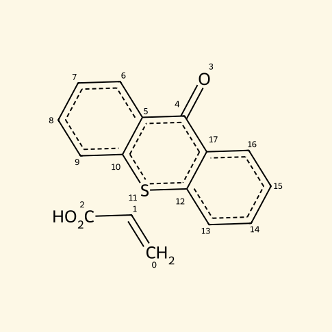 C=CC(=O)O.O=c1c2ccccc2sc2ccccc12